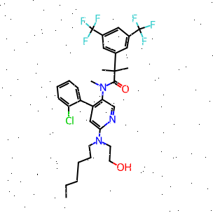 CCCCCCN(CCO)c1cc(-c2ccccc2Cl)c(N(C)C(=O)C(C)(C)c2cc(C(F)(F)F)cc(C(F)(F)F)c2)cn1